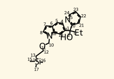 CCC(O)(c1ccc2ccn(COCC[Si](C)(C)C)c2c1)c1ccccn1